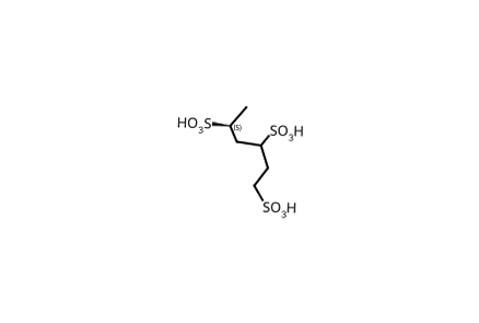 C[C@@H](CC(CCS(=O)(=O)O)S(=O)(=O)O)S(=O)(=O)O